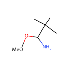 COOC(N)C(C)(C)C